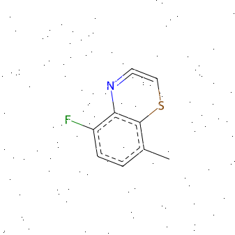 Cc1ccc(F)c2c1SC=C=N2